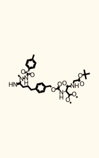 COC(OC)[C@H](NC(=O)OCc1ccc(CCCC(=N)N(C)NS(=O)(=O)c2ccc(C)cc2)cc1)C(=O)NCC(=O)OC(C)(C)C